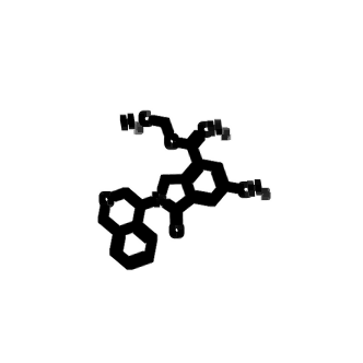 C=C(OCC)c1cc(C)cc2c1CN(C1COCc3ccccc31)C2=O